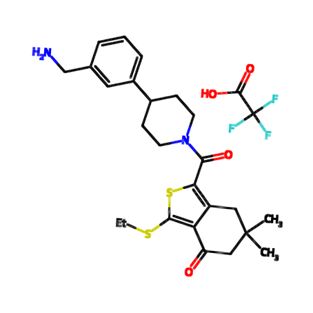 CCSc1sc(C(=O)N2CCC(c3cccc(CN)c3)CC2)c2c1C(=O)CC(C)(C)C2.O=C(O)C(F)(F)F